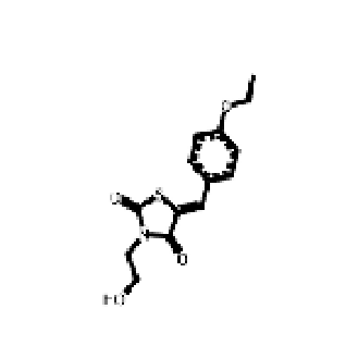 CCOc1ccc(/C=C2\SC(=O)N(CCO)C2=O)cc1